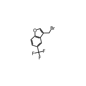 FC(F)(F)c1ccc2occ(CBr)c2c1